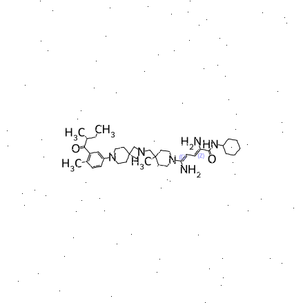 CCC(C)C(=O)c1cc(N2CCC3(CC2)CN(CC2(C)CCN(/C(N)=C/C=C(\N)C(=O)NC4CCCCC4)CC2)C3)ccc1C